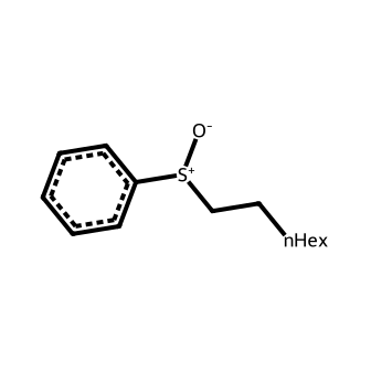 CCCCCCCC[S+]([O-])c1ccccc1